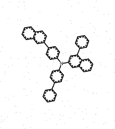 c1ccc(-c2ccc(N(c3ccc(-c4ccc5ccccc5c4)cc3)c3cc(-c4ccccc4)c4ccccc4c3)cc2)cc1